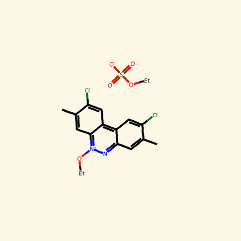 CCOS(=O)(=O)[O-].CCO[n+]1nc2cc(C)c(Cl)cc2c2cc(Cl)c(C)cc21